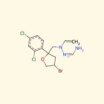 C=CN(CC1(c2ccc(Cl)cc2Cl)CC(Br)CO1)/N=C\N